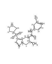 C[C@H]1Cn2ncc(S(=O)(=O)C3CCOC3)c2CN1C(=O)Nc1ccnc(Cl)c1